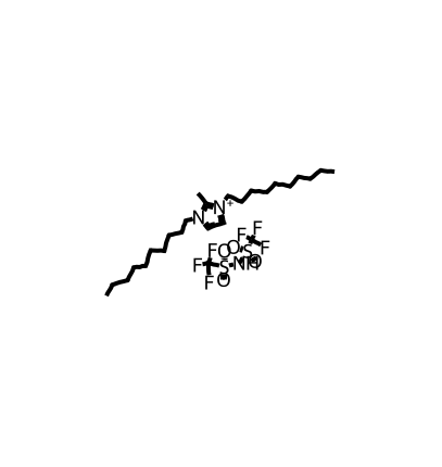 CCCCCCCCCCn1cc[n+](CCCCCCCCCC)c1C.O=S(=O)(NS(=O)(=O)C(F)(F)F)C(F)(F)F